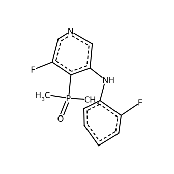 CP(C)(=O)c1c(F)cncc1Nc1ccccc1F